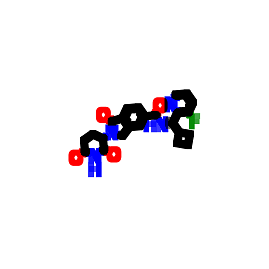 O=C1CCC(N2Cc3cc(C(=O)N[C@H](c4ncccc4F)C4CCC4)ccc3C2=O)C(=O)N1